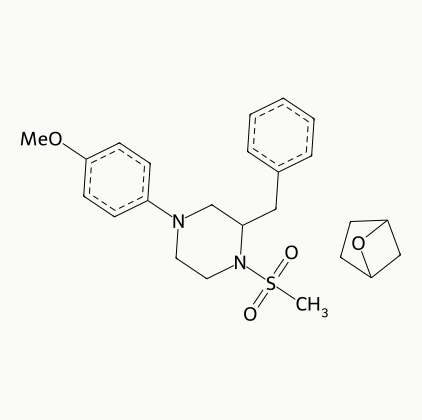 C1CC2CC1O2.COc1ccc(N2CCN(S(C)(=O)=O)C(Cc3ccccc3)C2)cc1